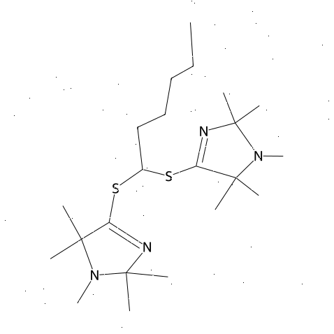 CCCCCC(SC1=NC(C)(C)N(C)C1(C)C)SC1=NC(C)(C)N(C)C1(C)C